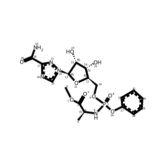 COC(=O)[C@H](C)NP(=O)(OC[C@H]1O[C@@H](n2cnc(C(N)=O)n2)[C@H](O)[C@@H]1O)Oc1ccccc1